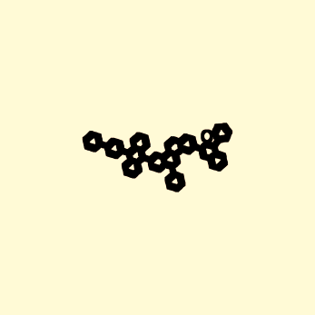 c1ccc(-c2ccc(-c3c4ccccc4c(-c4ccc5c(-c6ccccc6)cc6c7cc(-c8cc9ccccc9c9c8oc8ccccc89)ccc7ccc6c5c4)c4ccccc34)cc2)cc1